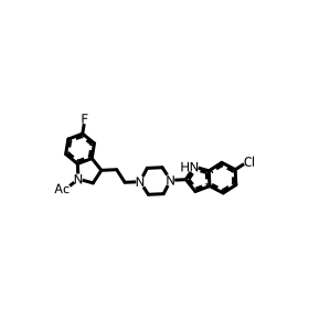 CC(=O)N1CC(CCN2CCN(c3cc4ccc(Cl)cc4[nH]3)CC2)c2cc(F)ccc21